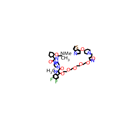 CN[C@@H](C)C(=O)NC(C(=O)N1CCN(C(=O)c2c(OCCOCCOCCOCCOc3cc(CN4CCC(Oc5ccnc6ccsc56)CC4)on3)c3cc(F)c(F)cc3n2C)CC1)C1CCCCC1